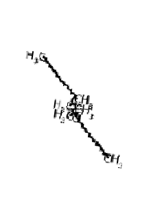 CCCCCCC=CCCCCCCCCCCC(C)CC(C)CC(C)CC(C)C(=O)OC=CCCCCCCCCCCCCCCCC